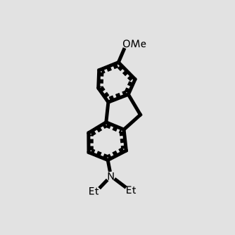 CCN(CC)c1ccc2c(c1)Cc1cc(OC)ccc1-2